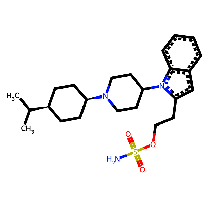 CC(C)[C@H]1CC[C@@H](N2CCC(n3c(CCOS(N)(=O)=O)cc4ccccc43)CC2)CC1